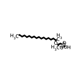 CCCCCCCCCCCCCCCCC(C)OC(C)CS(=O)(=O)O